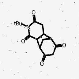 CC(C)(C)N1C(=O)CC2C3CC(C(=O)CC3=O)C2C1=O